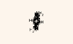 Nc1ncnc2c1ncn2[C@@H]1C[C@@H]2COP(=O)(O)OC3[C@@H](COP(=O)(O)O[C@@H]2C1F)O[C@@H](n1cnc2c(N)ncnc21)[C@H]3F